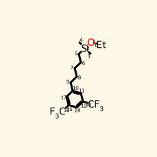 CCO[Si](C)(C)CCCCCc1cc(C(F)(F)F)cc(C(F)(F)F)c1